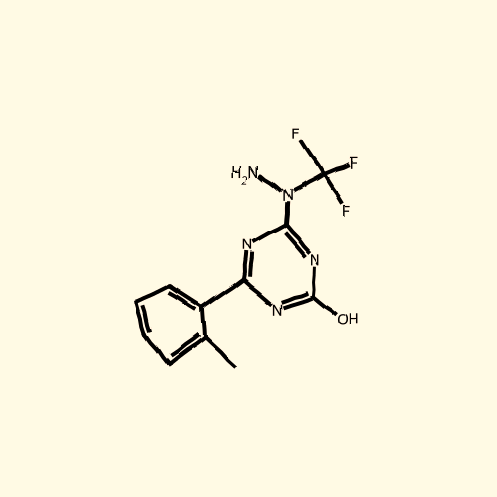 Cc1ccccc1-c1nc(O)nc(N(N)C(F)(F)F)n1